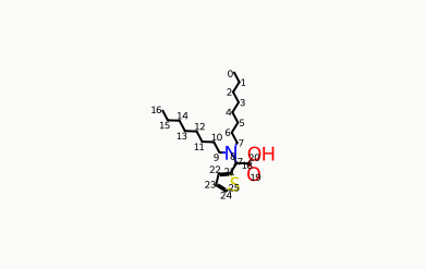 CCCCCCCCN(CCCCCCCC)C(C(=O)O)c1cccs1